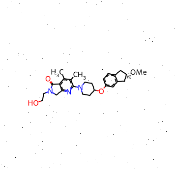 CO[C@H]1Cc2ccc(OC3CCN(c4nc5c(c(C)c4C)C(=O)N(CCO)C5)CC3)cc2C1